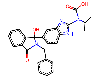 CC(C)N(C(=O)O)c1nc2cc(C3(O)c4ccccc4C(=O)N3Cc3ccccc3)ccc2[nH]1